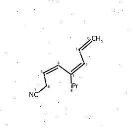 C=C/C=C(\C=C/CC#N)C(C)C